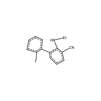 CCNc1c(C#N)cccc1-c1ccccc1F